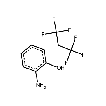 FC(F)(F)CC(F)(F)F.Nc1ccccc1O